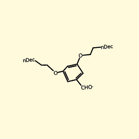 CCCCCCCCCCCCOc1cc([C]=O)cc(OCCCCCCCCCCCC)c1